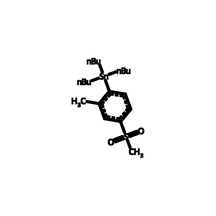 CCC[CH2][Sn]([CH2]CCC)([CH2]CCC)[c]1ccc(S(C)(=O)=O)cc1C